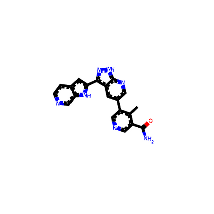 Cc1c(C(N)=O)cncc1-c1cnc2[nH]nc(-c3cc4ccncc4[nH]3)c2c1